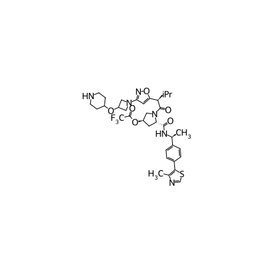 Cc1ncsc1-c1ccc([C@H](C)NC(=O)[C@@H]2C[C@@H](OC(=O)C(F)(F)F)CN2C(=O)[C@@H](c2cc(N3CC(OC4CCNCC4)C3)no2)C(C)C)cc1